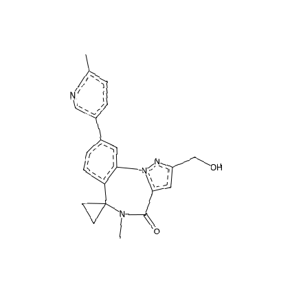 Cc1ccc(-c2ccc3c(c2)-n2nc(CO)cc2C(=O)N(C)C32CC2)cn1